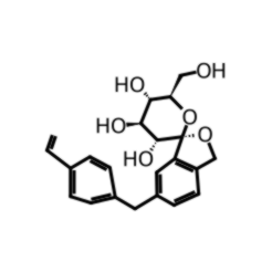 C=Cc1ccc(Cc2ccc3c(c2)[C@]2(OC3)O[C@H](CO)[C@@H](O)[C@H](O)[C@H]2O)cc1